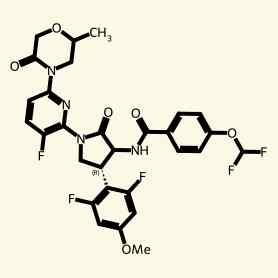 COc1cc(F)c([C@@H]2CN(c3nc(N4CC(C)OCC4=O)ccc3F)C(=O)C2NC(=O)c2ccc(OC(F)F)cc2)c(F)c1